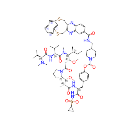 CC[C@H](C)[C@@H]([C@@H](CC(=O)N1CCC[C@H]1[C@H](OC)[C@@H](C)C(=O)N[C@@H](Cc1ccc(OC(=O)N2CCC(CNC(=O)c3ccc4nc5c(nc4c3)CSC3=C\C(=C/C=C/C=C\3)SC5)CC2)cc1)C(=O)NS(=O)(=O)C1CC1)OC)N(C)C(=O)[C@@H](NC(=O)[C@H](C(C)C)N(C)C)C(C)C